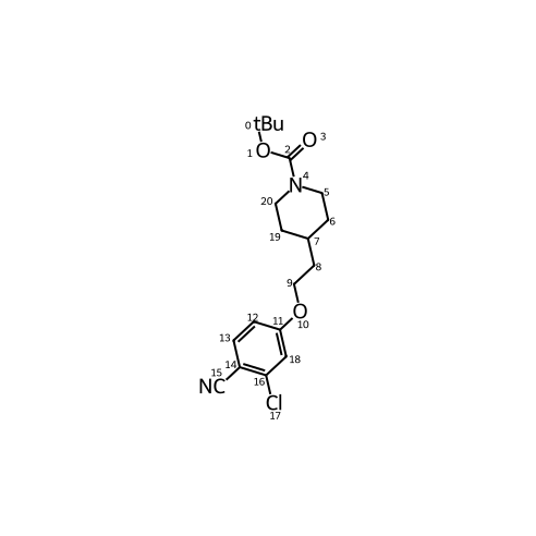 CC(C)(C)OC(=O)N1CCC(CCOc2ccc(C#N)c(Cl)c2)CC1